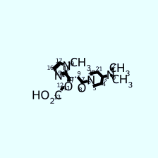 CN(C)C1CCN(C(=O)C[C@H](OCC(=O)O)c2nccn2C)CC1